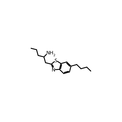 CCCCc1ccc2nc(CC(N)CCC)sc2c1